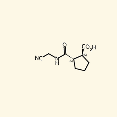 N#CCNC(=O)[C@H]1CCC[C@@H]1C(=O)O